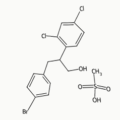 CS(=O)(=O)O.OCC(Cc1ccc(Br)cc1)c1ccc(Cl)cc1Cl